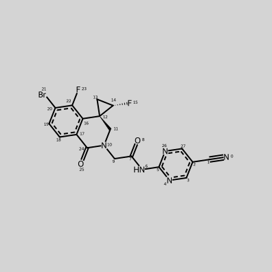 N#Cc1cnc(NC(=O)CN2C[C@]3(C[C@@H]3F)c3c(ccc(Br)c3F)C2=O)nc1